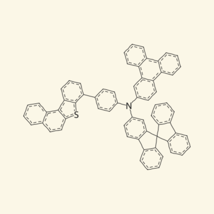 c1ccc2c(c1)-c1ccccc1C21c2ccccc2-c2ccc(N(c3ccc(-c4cccc5c4sc4ccc6ccccc6c45)cc3)c3ccc4c5ccccc5c5ccccc5c4c3)cc21